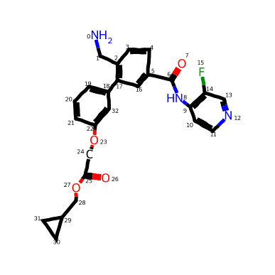 NCc1ccc(C(=O)Nc2ccncc2F)cc1-c1cccc(OCC(=O)OCC2CC2)c1